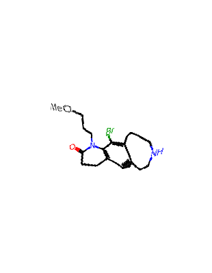 COCCCN1C(=O)CCc2cc3c(c(Br)c21)CCNCC3